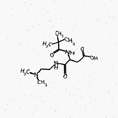 CN(C)CCNC(=O)C(CC(=O)O)NC(=O)C(C)(C)C